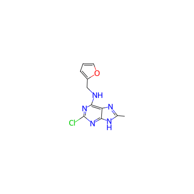 Cc1nc2c(NCc3ccco3)nc(Cl)nc2[nH]1